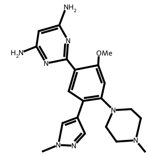 COc1cc(N2CCN(C)CC2)c(-c2cnn(C)c2)cc1-c1nc(N)cc(N)n1